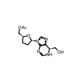 CC(=O)OC[C@@H]1CC[C@H](n2cnc3c2N=CN[C@@H]3CO)O1